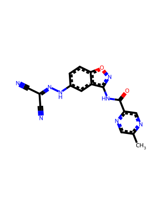 Cc1cnc(C(=O)Nc2noc3ccc(NN=C(C#N)C#N)cc23)cn1